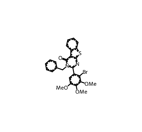 COc1cc(-c2nc3sc4ccccc4c3c(=O)n2Cc2ccccc2)c(Br)c(OC)c1OC